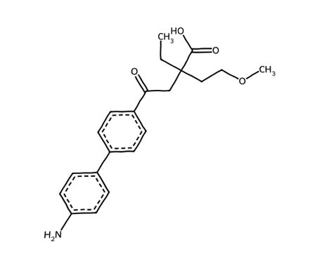 CCC(CCOC)(CC(=O)c1ccc(-c2ccc(N)cc2)cc1)C(=O)O